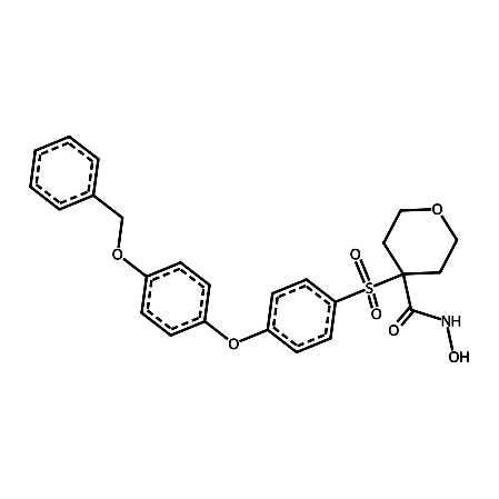 O=C(NO)C1(S(=O)(=O)c2ccc(Oc3ccc(OCc4ccccc4)cc3)cc2)CCOCC1